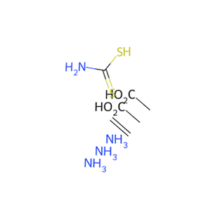 C=C.CC(=O)O.CC(=O)O.N.N.N.NC(=S)S